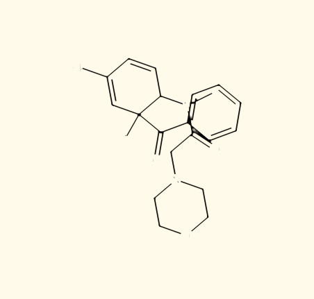 CN(C(=O)CN1CCOCC1)C1C=CC(Cl)=CC1(Cl)C(=O)c1ccccc1